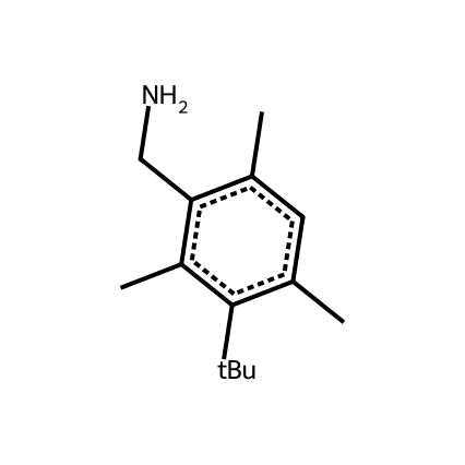 Cc1cc(C)c(C(C)(C)C)c(C)c1CN